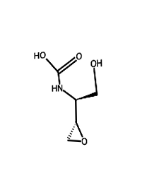 O=C(O)N[C@@H](CO)[C@H]1CO1